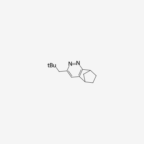 CC(C)(C)Cc1cc2c(nn1)C1CCC2C1